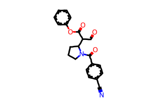 N#Cc1ccc(C(=O)N2CCCC2C(C=O)C(=O)Oc2ccccc2)cc1